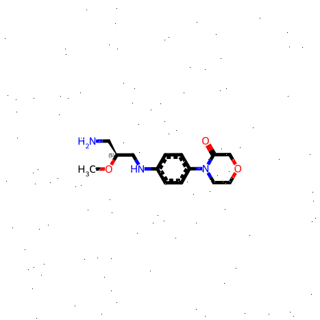 CO[C@@H](CN)CNc1ccc(N2CCOCC2=O)cc1